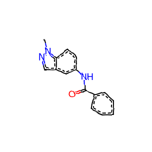 Cn1ncc2cc(NC(=O)c3ccccc3)ccc21